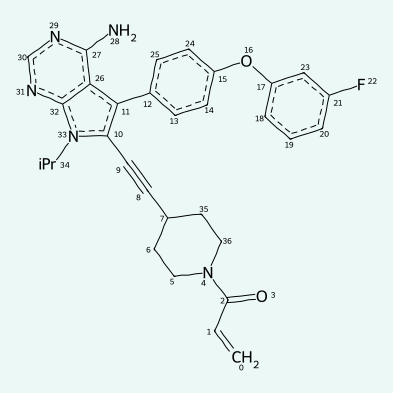 C=CC(=O)N1CCC(C#Cc2c(-c3ccc(Oc4cccc(F)c4)cc3)c3c(N)ncnc3n2C(C)C)CC1